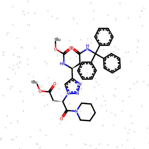 CC(C)(C)OC(=O)C[C@@H](C(=O)N1CCCCC1)n1cc([C@H](CC(=O)NC(c2ccccc2)(c2ccccc2)c2ccccc2)NC(=O)OC(C)(C)C)nn1